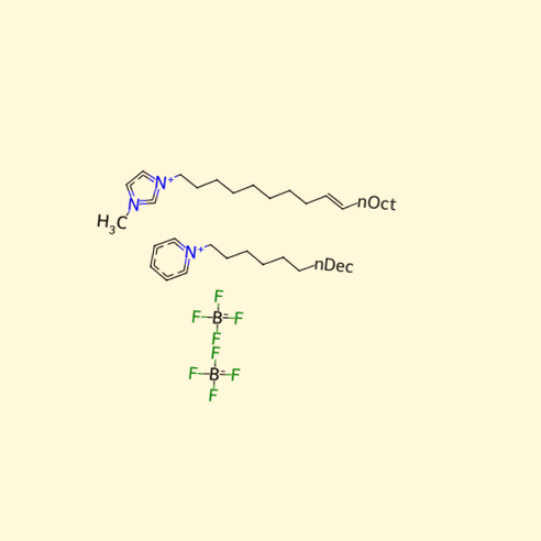 CCCCCCCCC=CCCCCCCCC[n+]1ccn(C)c1.CCCCCCCCCCCCCCCC[n+]1ccccc1.F[B-](F)(F)F.F[B-](F)(F)F